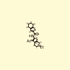 CCN1CCc2c(sc(NC(=O)c3cc4c(s3)CCCC4)c2C(C)=O)C1